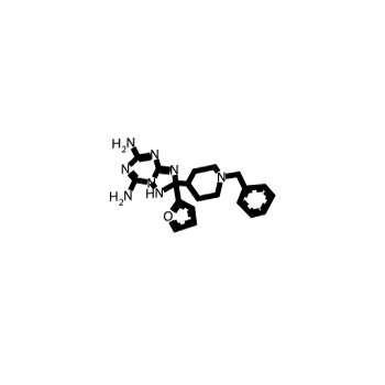 NC1=NC2=NC(c3ccco3)(C3CCN(Cc4ccccc4)CC3)NN2C(N)=N1